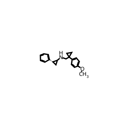 COc1ccc(C2(CNC3C[C@@H]3c3ccccc3)CC2)cc1